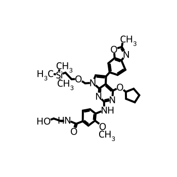 COc1cc(C(=O)NCCO)ccc1Nc1nc(OC2CCCC2)c2c(-c3ccc4nc(C)oc4c3)cn(COCC[Si](C)(C)C)c2n1